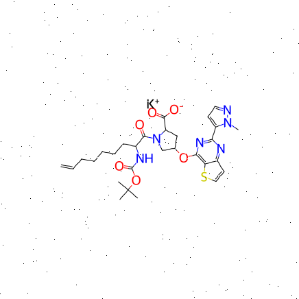 C=CCCCCCC(NC(=O)OC(C)(C)C)C(=O)N1CC(Oc2nc(-c3ccnn3C)nc3ccsc23)CC1C(=O)[O-].[K+]